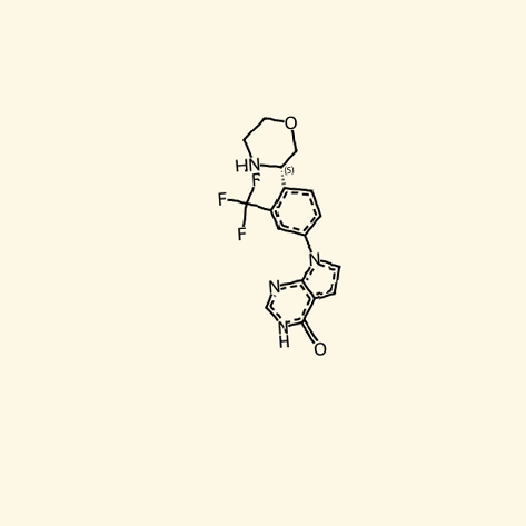 O=c1[nH]cnc2c1ccn2-c1ccc([C@H]2COCCN2)c(C(F)(F)F)c1